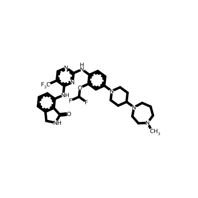 CN1CCCN(C2CCN(c3ccc(Nc4ncc(C(F)(F)F)c(Nc5cccc6c5C(=O)NC6)n4)c(OC(F)F)c3)CC2)CC1